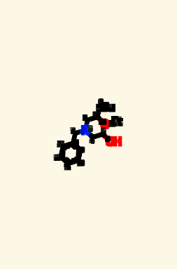 CCCCC(CN(CCO)Cc1ccccc1)OCC